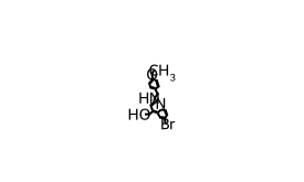 COc1ccc(CNc2cc(CO)c3cc(Br)ccc3n2)cc1